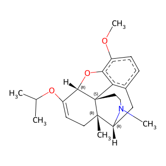 COc1ccc2c3c1O[C@H]1C(OC(C)C)=CC[C@@]4(C)[C@@H](C2)N(C)CC[C@]314